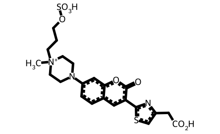 C[N+]1(CCCOS(=O)(=O)O)CCN(c2ccc3cc(-c4nc(CC(=O)O)cs4)c(=O)oc3c2)CC1